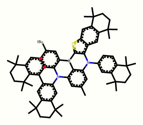 Cc1cc2c3c(c1)N(c1ccc4c(c1)C(C)(C)CCC4(C)C)c1c(sc4cc5c(cc14)C(C)(C)CCC5(C)C)B3c1cc(C(C)(C)C)ccc1N2c1cc2c(cc1-c1cccc3c1C(C)(C)CCC3(C)C)C(C)(C)CCC2(C)C